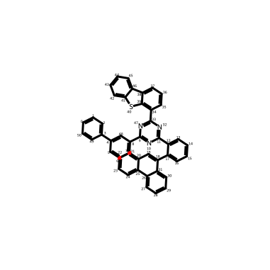 c1ccc(-c2cccc(-c3nc(-c4ccccc4-c4cc5ccccc5c5ccccc45)nc(-c4cccc5c4sc4ccccc45)n3)c2)cc1